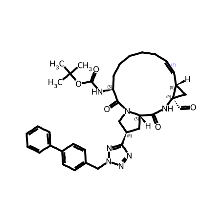 CC(C)(C)OC(=O)N[C@H]1CCCCC/C=C\[C@@H]2C[C@@]2(C=O)NC(=O)[C@@H]2C[C@@H](c3nnn(Cc4ccc(-c5ccccc5)cc4)n3)CN2C1=O